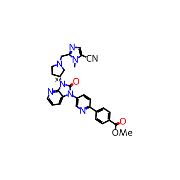 COC(=O)c1ccc(-c2ccc(-n3c(=O)n([C@@H]4CCN(Cc5ncc(C#N)n5C)C4)c4ncccc43)cn2)cc1